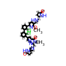 COc1nc(-c2cccc(-c3cccc(-c4cc5c(=O)n(C)c(CN6CC7(CCC(=O)N7)C6)nn5c4)c3Cl)c2Cl)ccc1CNC[C@@H]1CCC(=O)N1